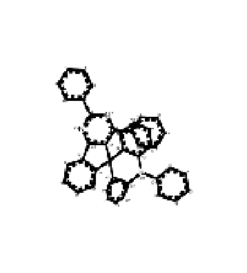 c1ccc(-c2nc(-c3ccccc3)c3c(n2)-c2ccccc2C32c3ccccc3N(c3ccccc3)c3ccccc32)cc1